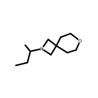 CCC(C)N1CC2(CCOCC2)C1